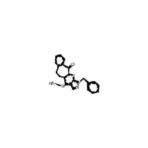 CCCOc1c2c(nc3c1cnn3Cc1ccccc1)C(=O)c1ccccc1CC2